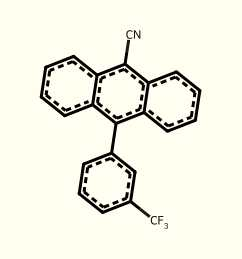 N#Cc1c2ccccc2c(-c2cccc(C(F)(F)F)c2)c2ccccc12